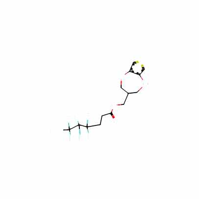 O=C(CCC(F)(F)C(F)(F)C(F)(F)C(F)(F)F)OCC1COc2cscc2OC1